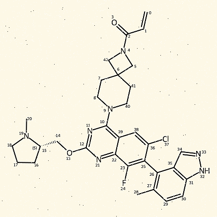 C=CC(=O)N1CC2(CCN(c3nc(OC[C@@H]4CCCN4C)nc4c(F)c(-c5c(C)ccc6[nH]ncc56)c(Cl)cc34)CC2)C1